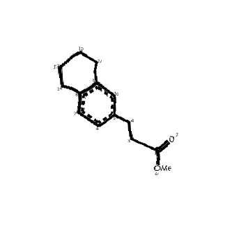 COC(=O)CCc1ccc2c(c1)CCCC2